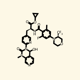 Cc1cc(N2CCOC[C@@H]2C(F)(F)F)cc(F)c1C(=O)N[C@@H](Cc1ccc(N2C(=O)N(C)c3cnccc3C2O)nc1)C(=O)OC1CC1